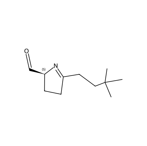 CC(C)(C)CCC1=N[C@H](C=O)CC1